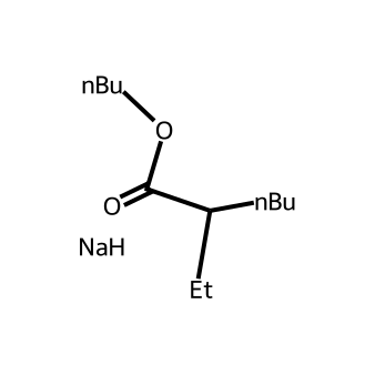 CCCCOC(=O)C(CC)CCCC.[NaH]